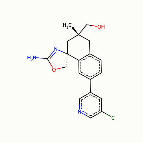 C[C@@]1(CO)Cc2ccc(-c3cncc(Cl)c3)cc2[C@]2(COC(N)=N2)C1